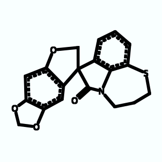 O=C1N2CCCSc3cccc(c32)C12COc1cc3c(cc12)OCO3